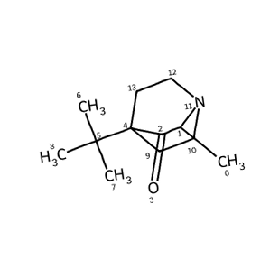 CC1C(=O)C2(C(C)(C)C)CCN1CC2